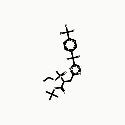 CCOP(C)(=O)C(Cc1noc(C(F)(F)c2ccc(C(F)(F)F)cc2)n1)C(=O)OC(C)(C)C